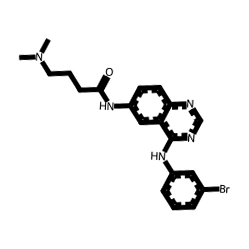 CN(C)CCCC(=O)Nc1ccc2ncnc(Nc3cccc(Br)c3)c2c1